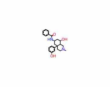 CN1CCC2(c3cccc(O)c3)CC(NC(=O)c3ccccc3)CC(O)C2C1